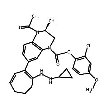 COc1ccc(OC(=O)N2C[C@H](C)N(C(C)=O)c3ccc(C4=C(NNC5CC5)CCCC=C4)cc32)c(Cl)c1